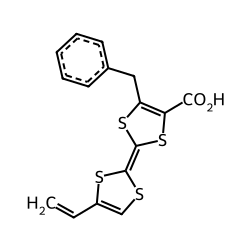 C=CC1=CSC(=C2SC(Cc3ccccc3)=C(C(=O)O)S2)S1